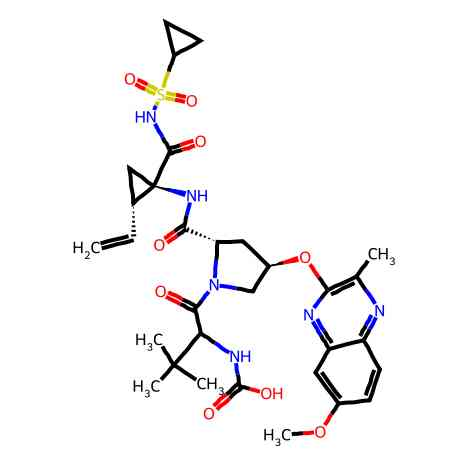 C=C[C@@H]1C[C@]1(NC(=O)[C@@H]1C[C@@H](Oc2nc3cc(OC)ccc3nc2C)CN1C(=O)C(NC(=O)O)C(C)(C)C)C(=O)NS(=O)(=O)C1CC1